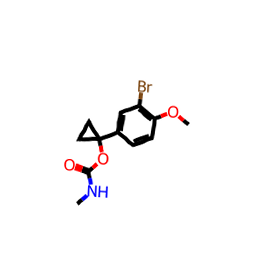 CNC(=O)OC1(c2ccc(OC)c(Br)c2)CC1